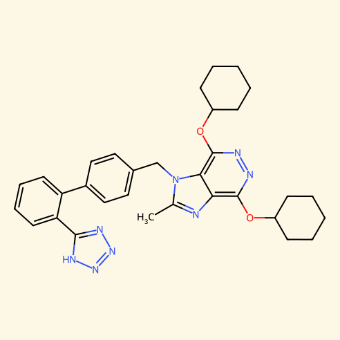 Cc1nc2c(OC3CCCCC3)nnc(OC3CCCCC3)c2n1Cc1ccc(-c2ccccc2-c2nnn[nH]2)cc1